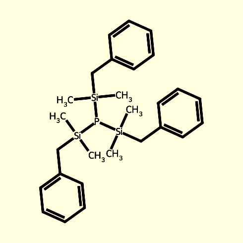 C[Si](C)(Cc1ccccc1)P([Si](C)(C)Cc1ccccc1)[Si](C)(C)Cc1ccccc1